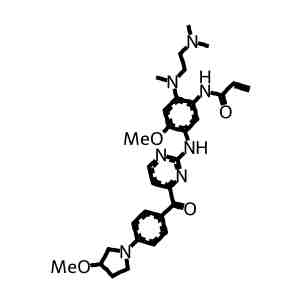 C=CC(=O)Nc1cc(Nc2nccc(C(=O)c3ccc(N4CCC(OC)C4)cc3)n2)c(OC)cc1N(C)CCN(C)C